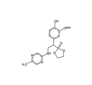 COc1cc(C(CNc2cnc(C)cn2)P2(=O)OCCO2)ccc1O